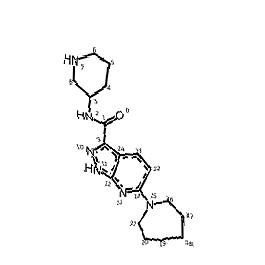 O=C(NC1CCCNC1)c1n[nH]c2nc(N3CCCCCC3)ccc12